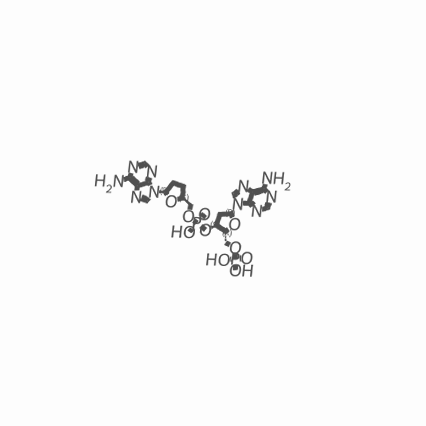 Nc1ncnc2c1ncn2[C@H]1CC[C@@H](COP(=O)(O)O[C@H]2C[C@H](n3cnc4c(N)ncnc43)O[C@@H]2COP(=O)(O)O)O1